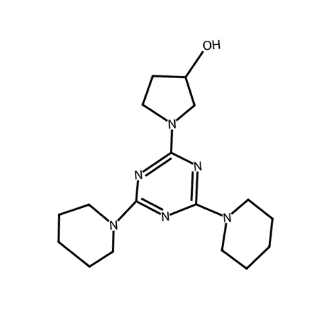 OC1CCN(c2nc(N3CCCCC3)nc(N3CCCCC3)n2)C1